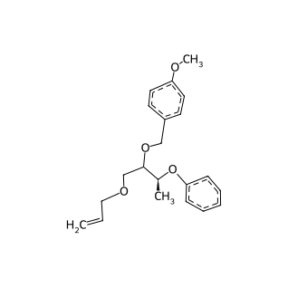 C=CCOCC(OCc1ccc(OC)cc1)[C@H](C)Oc1ccccc1